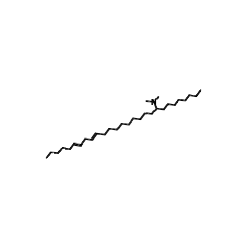 CCCCCC=CCC=CCCCCCCCCCC(CCCCCCCC)N(C)C